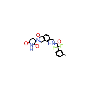 Cc1cccc(C(F)(F)C(=O)NCc2ccc3c(c2)CN(C2CCC(=O)NC2=O)C3=O)c1